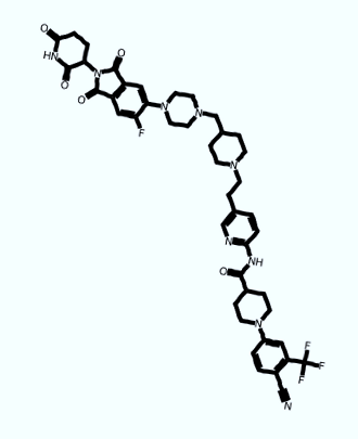 N#Cc1ccc(N2CCC(C(=O)Nc3ccc(CCN4CCC(CN5CCN(c6cc7c(cc6F)C(=O)N(C6CCC(=O)NC6=O)C7=O)CC5)CC4)cn3)CC2)cc1C(F)(F)F